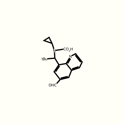 CC(C)(C)C(c1cc(C=O)cc2cccnc12)N(C(=O)O)C1CC1